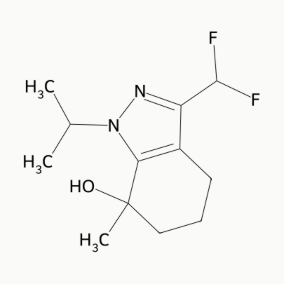 CC(C)n1nc(C(F)F)c2c1C(C)(O)CCC2